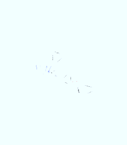 N[C@]1(Cc2ccccc2)C[C@H]1c1ccc(OCc2ccccc2)cc1